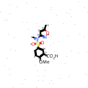 COc1ccc(S(=O)(=O)N(C)c2cc(C)on2)cc1C(=O)O